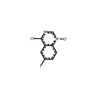 [O-][n+]1cnc(Cl)c2cc(I)ccc21